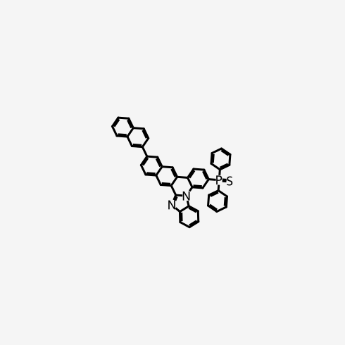 S=P(c1ccccc1)(c1ccccc1)c1ccc2c3cc4cc(-c5ccc6ccccc6c5)ccc4cc3c3nc4ccccc4n3c2c1